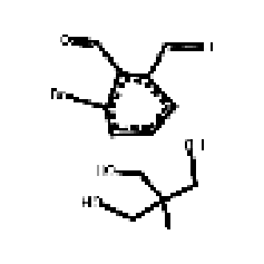 CC(CO)(CO)CO.O=Cc1cccc(Br)c1C=O